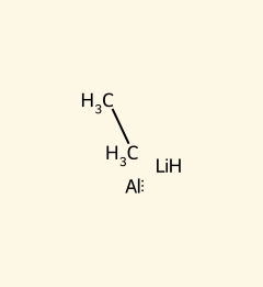 CC.[Al].[LiH]